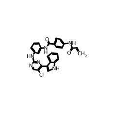 C=CC(=O)Nc1ccc(C(=O)Nc2cccc(Nc3ncc(Cl)c(-c4c[nH]c5ccccc45)n3)c2)cc1